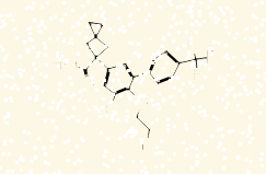 O=C(O)C1(c2cc(Cl)c(OCCF)c(-c3ccc(C(F)(F)F)cc3)c2)CC2(CC2)C1